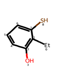 CCc1c(O)cccc1S